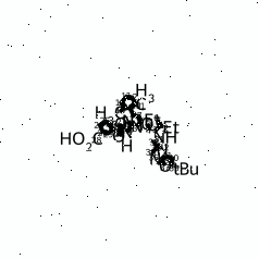 CCC(CC)[C@H](COc1cc(-c2c(C)cccc2C)nc(NS(=O)(=O)c2cccc(C(=O)O)c2)n1)NCc1cnc2oc(C(C)(C)C)cc2n1